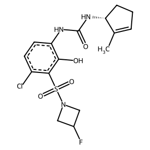 CC1=CCC[C@H]1NC(=O)Nc1ccc(Cl)c(S(=O)(=O)N2CC(F)C2)c1O